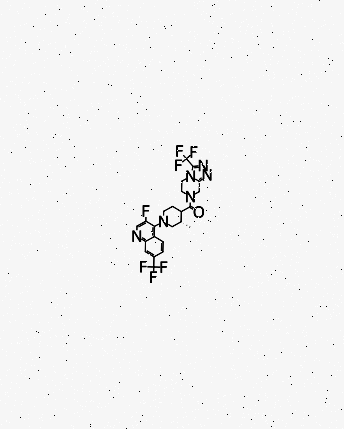 C[C@@H]1CN(c2c(F)cnc3cc(C(F)(F)F)ccc23)CCC1C(=O)N1CCn2c(nnc2C(F)(F)F)C1